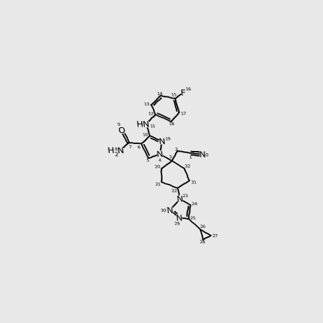 N#CCC1(n2cc(C(N)=O)c(Nc3ccc(F)cc3)n2)CCC(n2cc(C3CC3)nn2)CC1